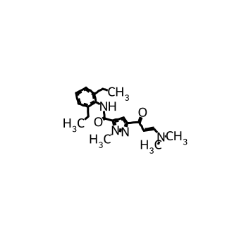 CCc1cccc(CC)c1NC(=O)c1cc(C(=O)C=CN(C)C)nn1C